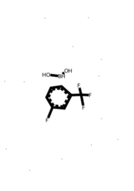 Fc1cccc(C(F)(F)F)c1.OBO